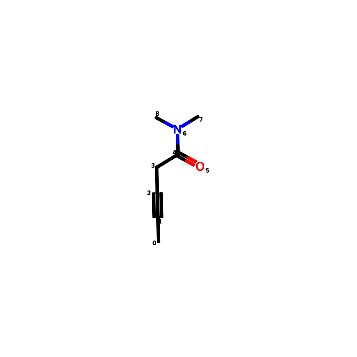 CC#CCC(=O)N(C)C